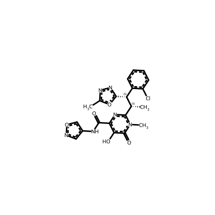 Cc1nnc([C@H](c2ccccc2Cl)[C@H](C)c2nc(C(=O)Nc3cnoc3)c(O)c(=O)n2C)o1